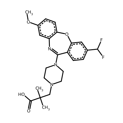 COc1ccc2c(c1)N=C(N1CCN(CC(C)(C)C(=O)O)CC1)c1ccc(C(F)F)cc1O2